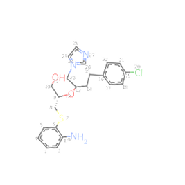 Nc1ccccc1SC[C@H](CO)OC(CCc1ccc(Cl)cc1)Cn1ccnc1